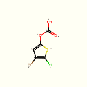 O=C(O)Oc1cc(Br)c(Cl)s1